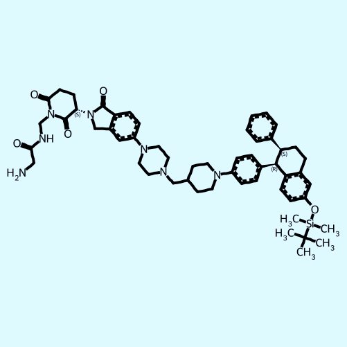 CC(C)(C)[Si](C)(C)Oc1ccc2c(c1)CC[C@H](c1ccccc1)[C@@H]2c1ccc(N2CCC(CN3CCN(c4ccc5c(c4)CN([C@H]4CCC(=O)N(CNC(=O)CN)C4=O)C5=O)CC3)CC2)cc1